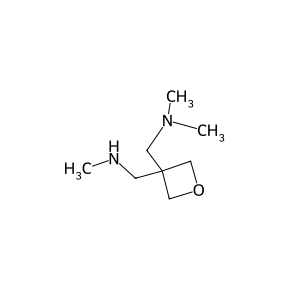 CNCC1(CN(C)C)COC1